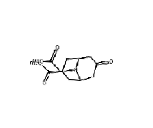 COC(=O)CN1C2CC(=O)CC1CC(C(=O)OC)C2